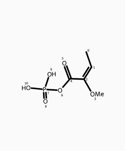 CC=C(OC)C(=O)OP(=O)(O)O